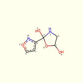 OC1CNC(O)(c2ccon2)O1